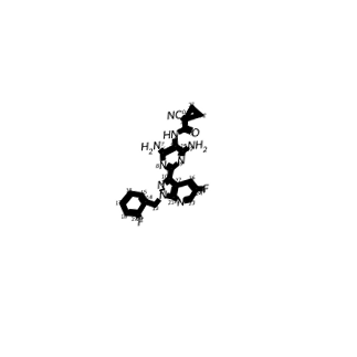 N#CC1(C(=O)Nc2c(N)nc(-c3nn(Cc4ccccc4F)c4ncc(F)cc34)nc2N)CC1